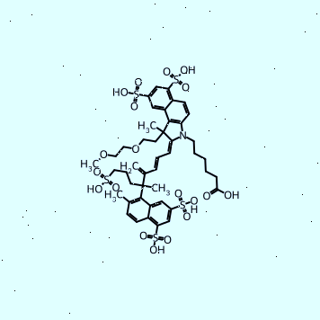 C=C(/C=C/C=C1/N(CCCCCC(=O)O)c2ccc3c(S(=O)(=O)O)cc(S(=O)(=O)O)cc3c2C1(C)CCOCCOC)C(C)(CCCS(=O)(=O)O)c1c(C)ccc2c(S(=O)(=O)O)cc(S(=O)(=O)O)cc12